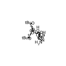 CC(C)(C)C(=O)SCCOP(=O)(OCCSC(=O)C(C)(C)C)OCC1=C(O)[C@@H](O)[C@](C#N)(c2ccc3c(N)ncnn23)O1